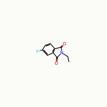 [CH2]CN1C(=O)c2ccc(F)cc2C1=O